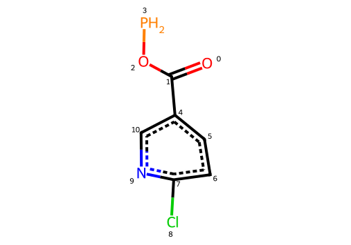 O=C(OP)c1ccc(Cl)nc1